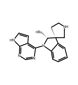 CCCC[C@H]1N(c2ncnc3[nH]ccc23)c2ccccc2[C@@]12CCNC2